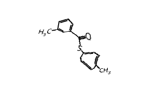 Cc1ccc(SC(=O)c2cccc(C)c2)cc1